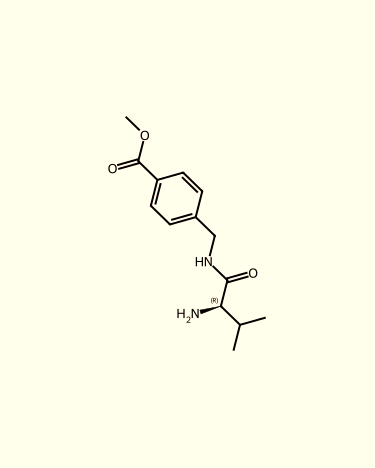 COC(=O)c1ccc(CNC(=O)[C@H](N)C(C)C)cc1